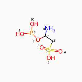 NC(CS(=O)(=O)O)OP(O)O